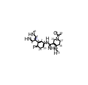 CN/C=C(\C=N)C1=CC(NC(=N)C2=C(NC)CCN(C(C)=O)C2)=CCC1F